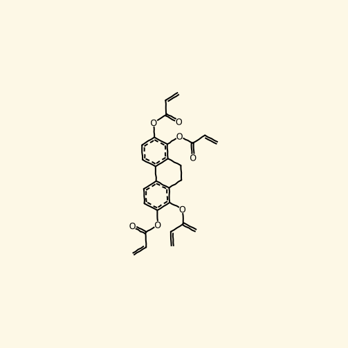 C=CC(=C)Oc1c(OC(=O)C=C)ccc2c1CCc1c-2ccc(OC(=O)C=C)c1OC(=O)C=C